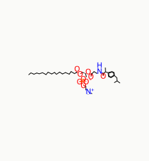 CCCCCCCCCCCCCCCCCC(=O)OC[C@H](COP(=O)([O-])OCC[N+](C)(C)C)OC(=O)CCNC(=O)C(C)c1ccc(CC(C)C)cc1